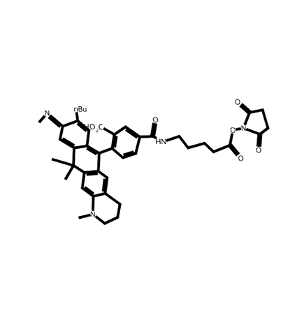 CCCCC1=CC2=C(c3ccc(C(=O)NCCCCC(=O)ON4C(=O)CCC4=O)cc3C(=O)O)c3cc4c(cc3C(C)(C)C2=C/C1=N\C)N(C)CCC4